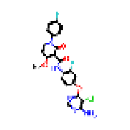 CCOc1ccn(-c2ccc(F)cc2)c(=O)c1C(=O)Nc1ccc(Oc2ncnc(N)c2Cl)cc1F